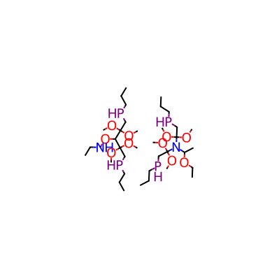 CCCPCC(OC)(OC)C(ONCC)C(CPCCC)(OC)OC.CCCPCC(OC)(OC)N(C(C)OCC)C(CPCCC)(OC)OC